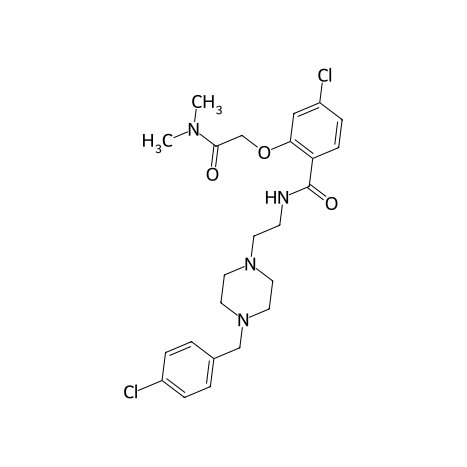 CN(C)C(=O)COc1cc(Cl)ccc1C(=O)NCCN1CCN(Cc2ccc(Cl)cc2)CC1